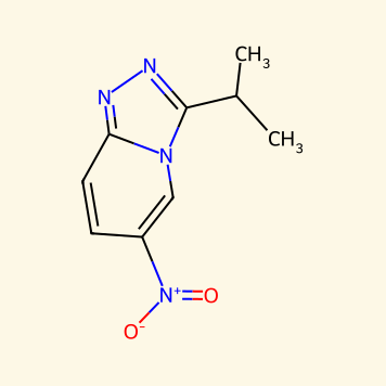 CC(C)c1nnc2ccc([N+](=O)[O-])cn12